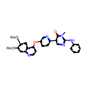 COc1cc2nccc(Oc3ccc(-c4cnc(Nc5ccccc5)n(C)c4=O)nc3)c2cc1OC